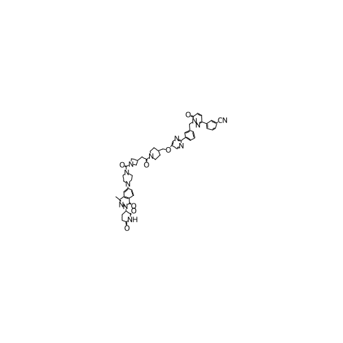 Cc1nn(C2CCC(=O)NC2=O)c(=O)c2ccc(N3CCN(C(=O)N4CC(CC(=O)N5CCC(COc6cnc(-c7cccc(Cn8nc(-c9cccc(C#N)c9)ccc8=O)c7)nc6)CC5)C4)CC3)cc12